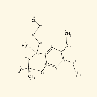 COc1cc2c(cc1OC)C(C)(CCCCl)SC(C)(C)C2